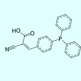 N#CC(=Cc1ccc(P(c2ccccc2)c2ccccc2)cc1)C(=O)O